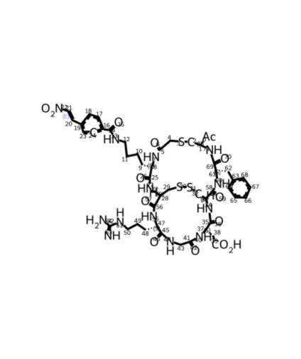 CC(=O)[C@@H]1CSCC(=O)N[C@@H](CCCCNC(=O)c2ccc(/C=C/[N+](=O)[O-])cc2)C(=O)N[C@H]2CSSC[C@H](NC(=O)[C@H](CC(=O)O)NC(=O)CNC(=O)[C@H](CCCNC(=N)N)NC2=O)C(=O)N[C@@H](Cc2ccccc2)C(=O)N1